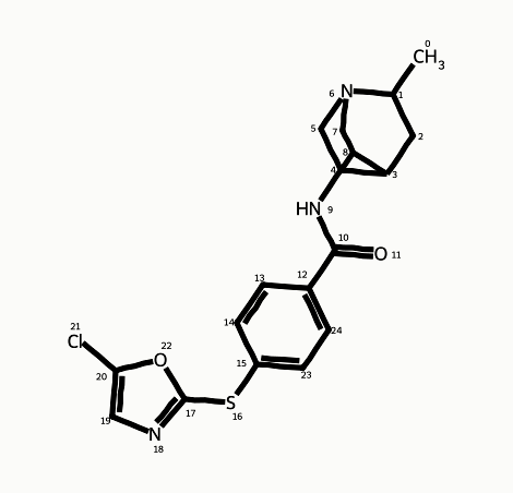 CC1CC2CCN1CC2NC(=O)c1ccc(Sc2ncc(Cl)o2)cc1